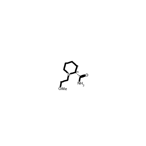 COCCN1CCC[CH][C@@H]1C(N)=O